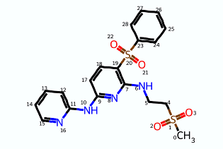 CS(=O)(=O)CCNc1nc(Nc2ccccn2)ccc1S(=O)(=O)c1ccccc1